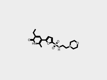 CCc1cc(-c2ccc(S(=O)(=O)NCCN3CCOCC3)o2)c(C)[nH]c1=O